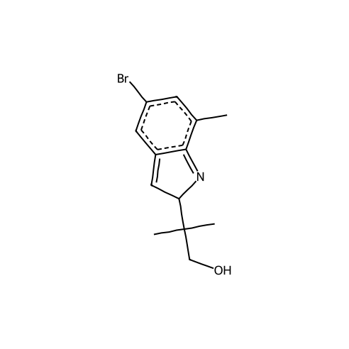 Cc1cc(Br)cc2c1=NC(C(C)(C)CO)C=2